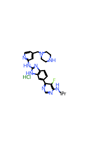 CC(C)Nc1ncnc(-c2ccc3nc(Nc4cc(CN5CCNCC5)ccn4)[nH]c3c2)c1F.Cl